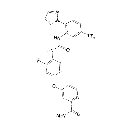 CNC(=O)c1cc(Oc2ccc(NC(=O)Nc3cc(C(F)(F)F)ccc3-n3cccn3)c(F)c2)ccn1